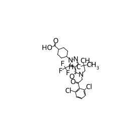 CC(C)(C)CN(CC(=O)c1c(Cl)cccc1Cl)C(=O)c1cnn(C2CCC(C(=O)O)CC2)c1C(F)(F)F